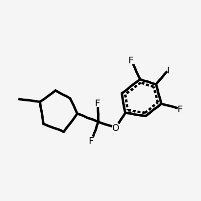 CC1CCC(C(F)(F)Oc2cc(F)c(I)c(F)c2)CC1